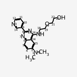 CN(C)c1ccc2nc(-c3cccnc3)nc(NCCOCCO)c2c1